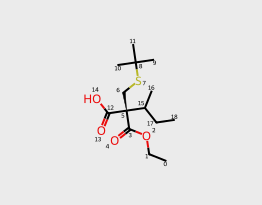 CCOC(=O)[C@](CSC(C)(C)C)(C(=O)O)C(C)CC